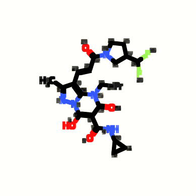 Cc1nn2c(O)c(C(=O)NC3CC3)c(=O)n(CC(C)C)c2c1C=CC(=O)N1CCC(C(F)F)C1